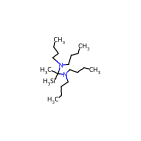 CCCCN(CCCC)C(C)([SiH3])N(CCCC)CCCC